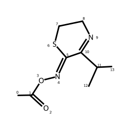 CC(=O)ON=C1SCCN=C1C(C)C